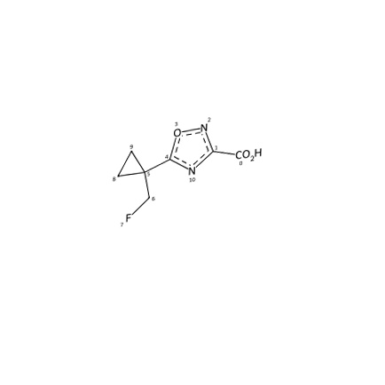 O=C(O)c1noc(C2(CF)CC2)n1